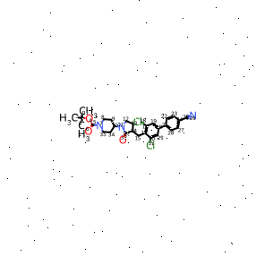 CC(C)(C)OC(=O)N1CCC(N2CCC(Cc3c(Cl)cc(-c4ccc(C#N)cc4)cc3Cl)C2=O)CC1